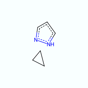 C1CC1.c1cn[nH]c1